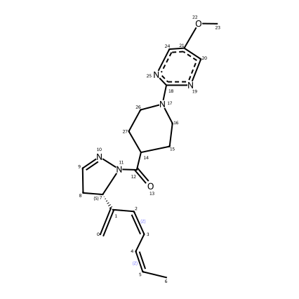 C=C(/C=C\C=C/C)[C@@H]1CC=NN1C(=O)C1CCN(c2ncc(OC)cn2)CC1